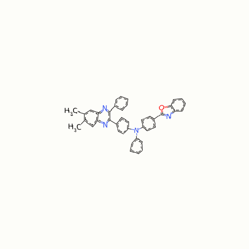 Cc1cc2nc(-c3ccccc3)c(-c3ccc(N(c4ccccc4)c4ccc(-c5nc6ccccc6o5)cc4)cc3)nc2cc1C